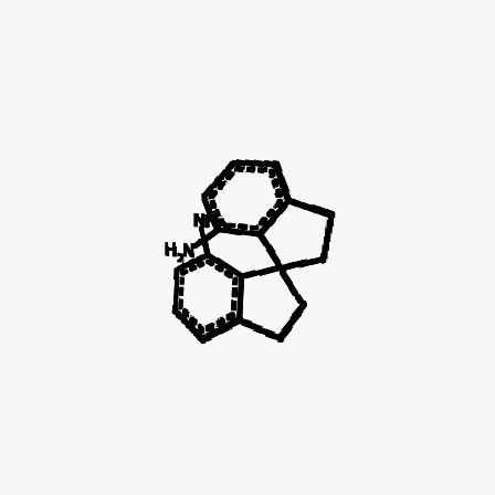 Nc1cccc2c1C1(CC2)CCc2cccc(N)c21